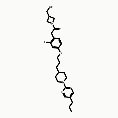 CCCc1cnc(N2CCC(CCCOc3ccc(CC(=O)N4CC(CO)C4)c(F)c3)CC2)nc1